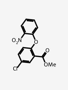 COC(=O)c1cc(Cl)ccc1Oc1ccccc1[N+](=O)[O-]